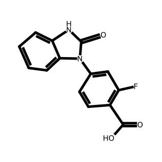 O=C(O)c1ccc(-n2c(=O)[nH]c3ccccc32)cc1F